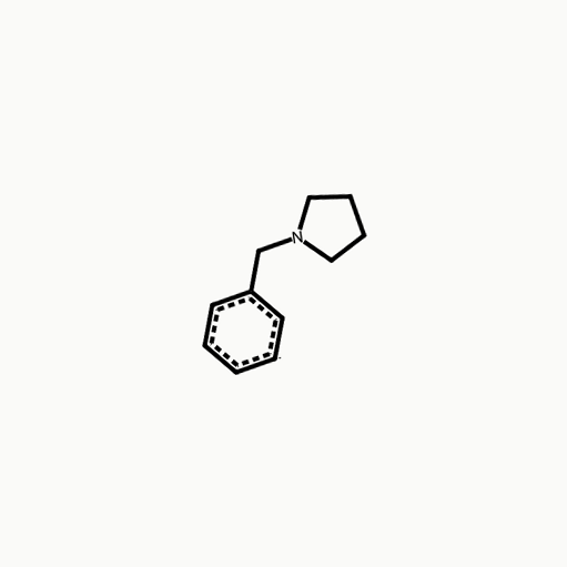 [c]1cccc(CN2CCCC2)c1